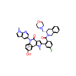 Cn1c(-c2cc(F)ccc2C(=O)N2Cc3ccccc3C[C@H]2CN2CCOCC2)cc(C(=O)N(c2ccc(O)cc2)c2cnc3c(ccn3C)c2)c1CC(F)(F)F